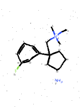 C[N+](C)(C)[CH]C1(c2cccc(F)c2)CCCC1.N